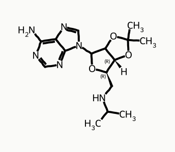 CC(C)NC[C@H]1OC(n2cnc3c(N)ncnc32)C2OC(C)(C)O[C@@H]21